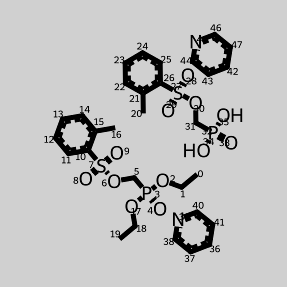 CCOP(=O)(COS(=O)(=O)c1ccccc1C)OCC.Cc1ccccc1S(=O)(=O)OCP(=O)(O)O.c1ccncc1.c1ccncc1